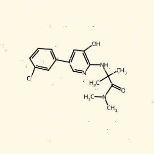 CN(C)C(=O)C(C)(C)Nc1ncc(-c2cccc(Cl)c2)cc1O